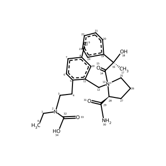 CCN(CCc1ccc(Cl)cc1C[N+]1(C(=O)[C@](C)(O)c2ccccc2)CCC[C@H]1C(N)=O)C(=O)O